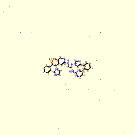 O=C(c1ccccc1)C(c1cc(NCCNc2nccc(-c3ccccc3-c3c[nH]cn3)n2)ncc1[N+](=O)[O-])n1ccnc1